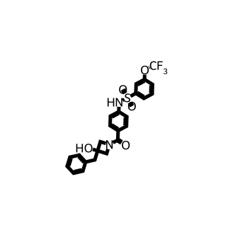 O=C(c1ccc(NS(=O)(=O)c2cccc(OC(F)(F)F)c2)cc1)N1CC(O)(Cc2ccccc2)C1